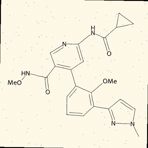 CONC(=O)c1cnc(NC(=O)C2CC2)cc1-c1cccc(-c2ccn(C)n2)c1OC